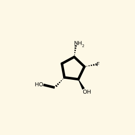 N[C@H]1C[C@@H](CO)[C@H](O)[C@H]1F